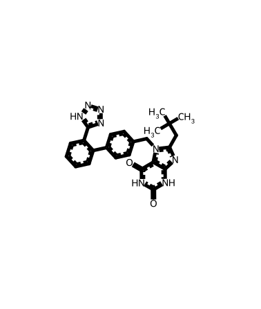 CC(C)(C)Cc1nc2[nH]c(=O)[nH]c(=O)c2n1Cc1ccc(-c2ccccc2-c2nnn[nH]2)cc1